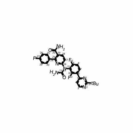 CC(C)(C)c1nccc(-c2ccc(F)c(N(C(N)=O)c3ccc(C(N)=O)c(-c4ccc(F)cc4)n3)c2F)n1